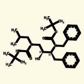 CC(C)CN(C[C@@H](O)[C@H](Cc1ccccc1)N(Cc1ccccc1)C(=O)OC(C)(C)C)C(=O)NC(C)(C)C